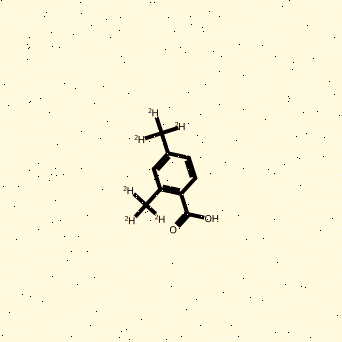 [2H]C([2H])([2H])c1ccc(C(=O)O)c(C([2H])([2H])[2H])c1